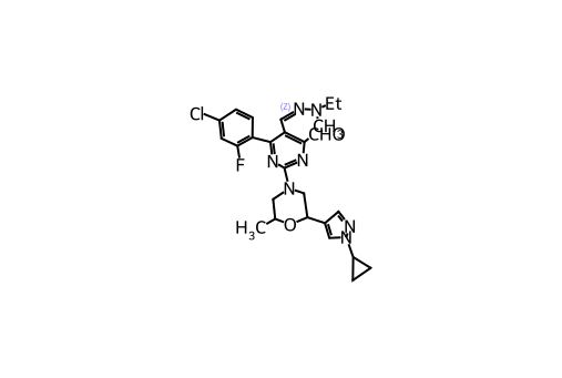 CCN(C)/N=C\c1c(C=O)nc(N2CC(C)OC(c3cnn(C4CC4)c3)C2)nc1-c1ccc(Cl)cc1F